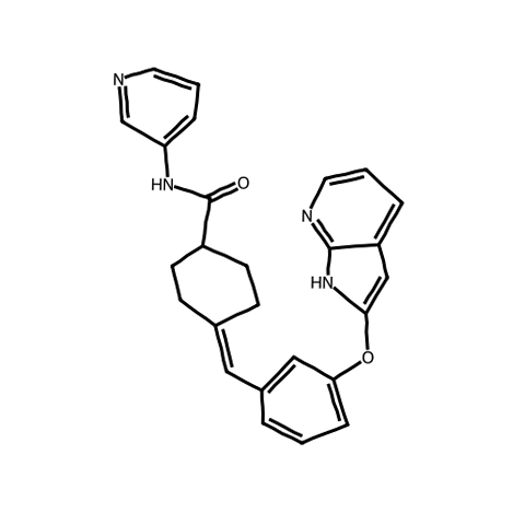 O=C(Nc1cccnc1)C1CCC(=Cc2cccc(Oc3cc4cccnc4[nH]3)c2)CC1